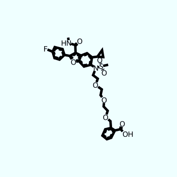 CNC(=O)c1c(-c2ccc(F)cc2)oc2cc(N(CCOCCOCCOCc3ccccc3C(=O)O)S(C)(=O)=O)c(C3CC3)cc12